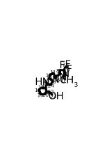 Cn1nc(C(F)(F)F)cc1-c1ccc2[nH]c(-c3ccccc3CO)cc2n1